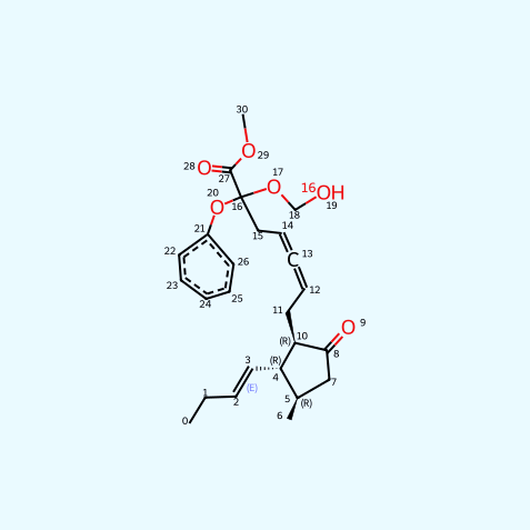 CC/C=C/[C@H]1[C@H](C)CC(=O)[C@@H]1CC=C=CCC(OC[16OH])(Oc1ccccc1)C(=O)OC